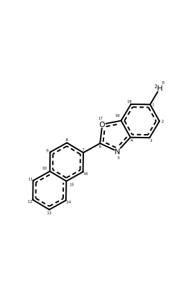 [2H]c1ccc2nc(-c3ccc4ccccc4c3)oc2c1